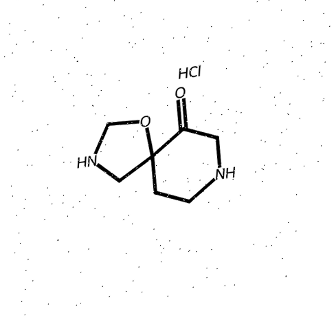 Cl.O=C1CNCCC12CNCO2